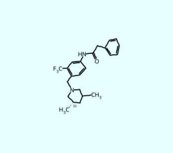 CC1C[C@H](C)CN(Cc2ccc(NC(=O)Cc3ccccc3)cc2C(F)(F)F)C1